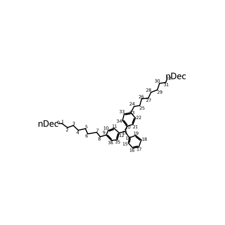 CCCCCCCCCCCCCCCCCCc1ccc([C](c2ccccc2)c2ccc(CCCCCCCCCCCCCCCCCC)cc2)cc1